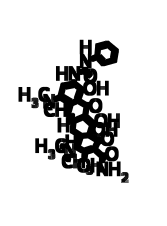 CN(C)c1cc(NC(=O)Nc2ccccc2)c(O)c2c1C[C@H]1C[C@H]3[C@H](N(C)C)C(O)=C(C(N)=O)C(=O)[C@]3(O)C(O)=C1C2=O